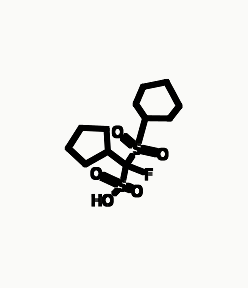 O=S(=O)(O)C(F)(C1CCCC1)S(=O)(=O)C1CCCCC1